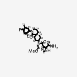 COCCN(C(=O)c1nc[nH]c1C(N)=O)[C@H]1CC[C@@]2(CCCN(c3cc(C)c(F)cc3Cl)C2=O)CC1